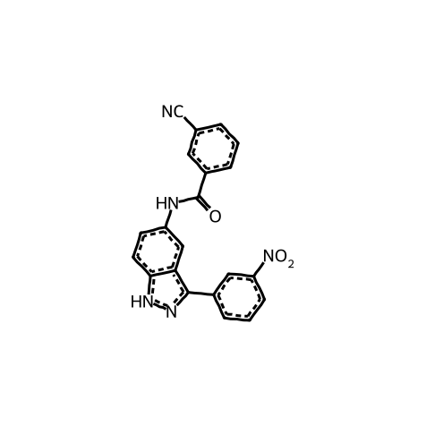 N#Cc1cccc(C(=O)Nc2ccc3[nH]nc(-c4cccc([N+](=O)[O-])c4)c3c2)c1